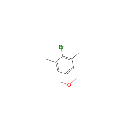 COC.Cc1cccc(C)c1Br